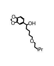 CC(C)CCOCCCCC(O)c1ccc2c(c1)OCO2